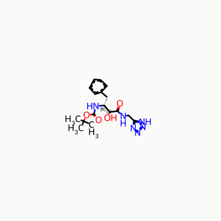 CC(C)(C)OC(=O)N[C@H](Cc1ccccc1)[C@H](O)C(=O)NCc1nnn[nH]1